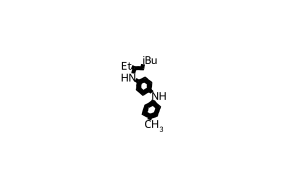 CCC(C)CC(CC)Nc1ccc(Nc2ccc(C)cc2)cc1